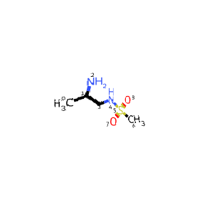 CC(N)CNS(C)(=O)=O